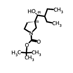 CCC(CC)[C@@H](O)[C@H]1CCN(C(=O)OC(C)(C)C)C1